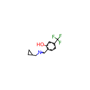 Oc1cc(C(F)(F)F)ccc1C=NCC1CC1